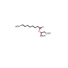 CCCCCCCCCCCCCCCCCC(=O)OC(C[C]=O)CCCCCCCCC